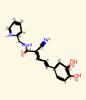 N#C/C(=C\C=C\c1ccc(O)c(O)c1)C(=O)NCc1ccccn1